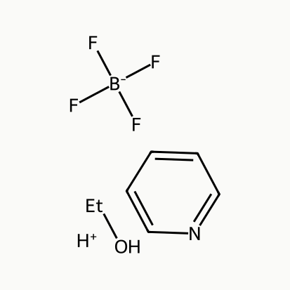 CCO.F[B-](F)(F)F.[H+].c1ccncc1